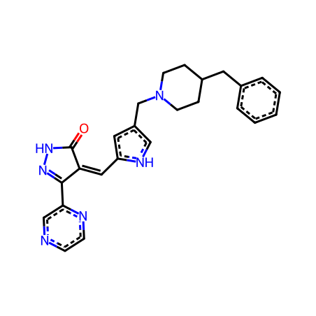 O=C1NN=C(c2cnccn2)C1=Cc1cc(CN2CCC(Cc3ccccc3)CC2)c[nH]1